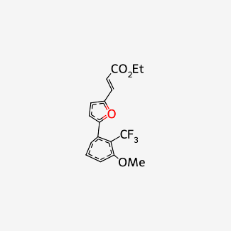 CCOC(=O)/C=C/c1ccc(-c2cccc(OC)c2C(F)(F)F)o1